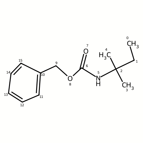 CCC(C)(C)NC(=O)OCc1ccccc1